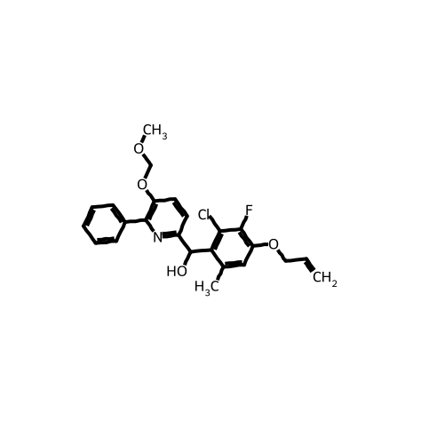 C=CCOc1cc(C)c(C(O)c2ccc(OCOC)c(-c3ccccc3)n2)c(Cl)c1F